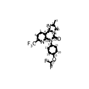 Cc1nc2c3ccc(C(F)(F)F)nc3n(-c3ccc(OC(F)F)cc3)c(=O)n2n1